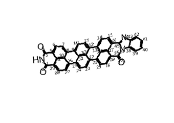 O=C1NC(=O)c2ccc3c4ccc5c6ccc7c8c(ccc(c9ccc(c%10ccc1c2c%103)c4c95)c68)c(=O)n1c2ccccc2nc71